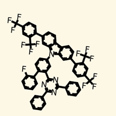 Fc1ccccc1-c1ccc(-n2c3cc(-c4ccc(C(F)(F)F)cc4C(F)(F)F)ccc3c3ccc(-c4ccc(C(F)(F)F)cc4C(F)(F)F)cc32)cc1-c1nc(-c2ccccc2)nc(-c2ccccc2)n1